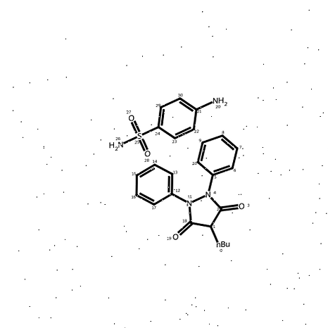 CCCCC1C(=O)N(c2ccccc2)N(c2ccccc2)C1=O.Nc1ccc(S(N)(=O)=O)cc1